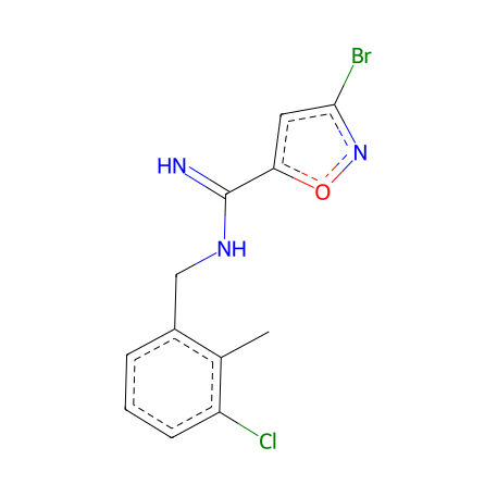 Cc1c(Cl)cccc1CNC(=N)c1cc(Br)no1